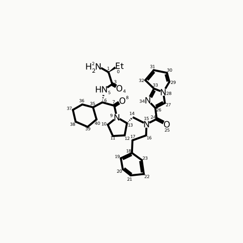 CC[C@H](N)C(=O)N[C@H](C(=O)N1CCC[C@H]1CN(CCc1ccccc1)C(=O)c1cn2ccccc2n1)C1CCCCC1